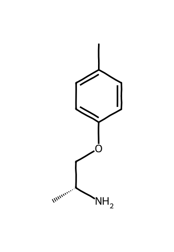 Cc1ccc(OC[C@@H](C)N)cc1